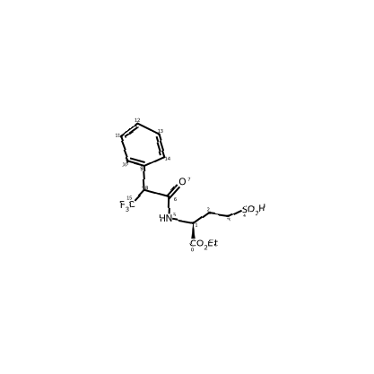 CCOC(=O)[C@H](CCS(=O)(=O)O)NC(=O)C(c1ccccc1)C(F)(F)F